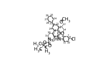 COCCCOc1cc(Cl)ccc1NC(=O)C1=C(c2cccc(-c3ccccc3)c2)CCN(C(=O)OC(C)(C)C)C1